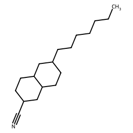 CCCCCCCC1CCC2CC(C#N)CCC2C1